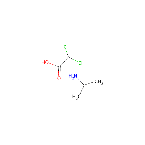 CC(C)N.O=C(O)C(Cl)Cl